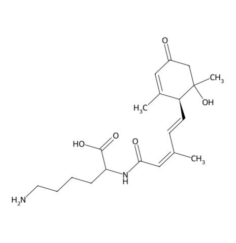 CC1=CC(=O)CC(C)(O)[C@H]1/C=C/C(C)=C\C(=O)NC(CCCCN)C(=O)O